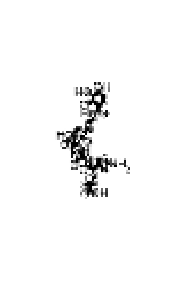 CC(C)(O/N=C(\C(=O)NC1C(=O)N2CC(C(=O)O)(N3CCN(/N=C/CNC(=O)c4ccc(O)c(O)c4Cl)C3=O)S[C@H]12)c1csc(N)n1)C(=O)O